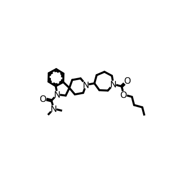 CCCCOC(=O)N1CCCC(N2CCC3(CC2)CN(C(=O)N(C)C)c2ccccc23)CC1